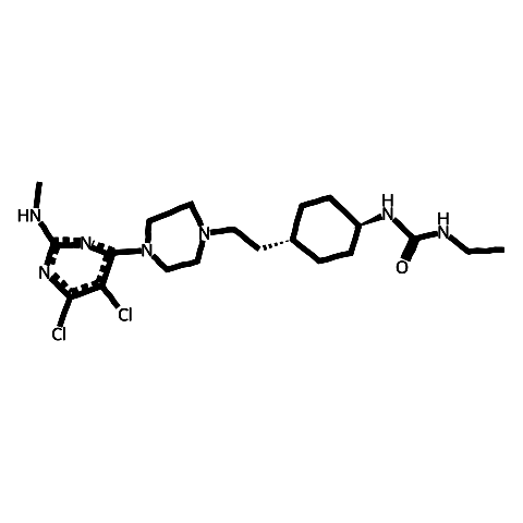 CCNC(=O)N[C@H]1CC[C@H](CCN2CCN(c3nc(NC)nc(Cl)c3Cl)CC2)CC1